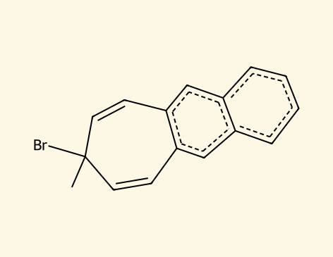 CC1(Br)C=Cc2cc3ccccc3cc2C=C1